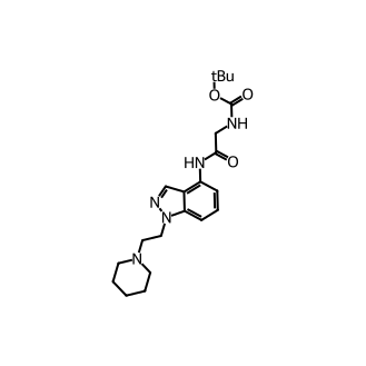 CC(C)(C)OC(=O)NCC(=O)Nc1cccc2c1cnn2CCN1CCCCC1